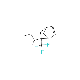 CCC(C)C1(C(F)(F)F)CC2C=CC1C2